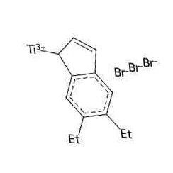 CCc1cc2c(cc1CC)[CH]([Ti+3])C=C2.[Br-].[Br-].[Br-]